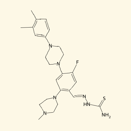 Cc1ccc(N2CCN(c3cc(N4CCN(C)CC4)c(C=NNC(N)=S)cc3F)CC2)cc1C